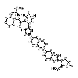 COC(=O)N[C@H](C(=O)N1[C@@H]2C[C@H]2C[C@H]1c1nc(-c2ccc3cc(-c4ccc5nc(C6CC7CC7N6C(=O)O)[nH]c5c4)ccc3c2)c[nH]1)C1CCOCC1